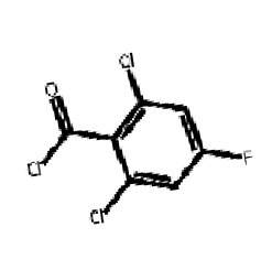 O=C(Cl)c1c(Cl)cc(F)cc1Cl